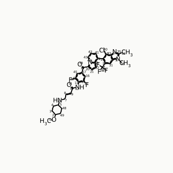 COC1CCC(NC/C=C/C(=O)Nc2c(F)cc(C(=O)c3ccc4c(-c5c(C(F)(F)F)cc6c(nc(C)n6C)c5Cl)cccn34)cc2F)CC1